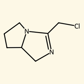 ClCC1=NCC2CCCN12